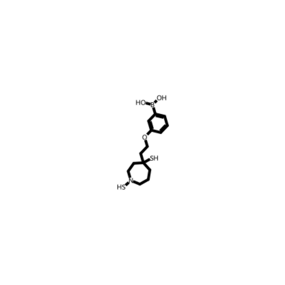 OB(O)c1cccc(OCCC2(S)CCCN(S)CC2)c1